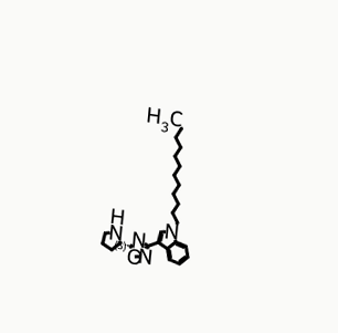 CCCCCCCCCCCCn1cc(-c2noc([C@@H]3CCCN3)n2)c2ccccc21